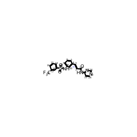 O=C(/C=C/c1cccc(NS(=O)(=O)c2cccc(C(F)(F)F)c2)c1)Nc1ccncn1